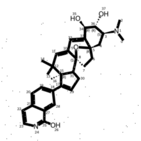 CN(C)[C@H]1C[C@@]23CC[C@@]4(O2)C(=CC(C)(C)[C@]2(C)C(c5ccc6ccnc(O)c6c5)=CCC42)C=C3[C@@H](O)[C@@H]1O